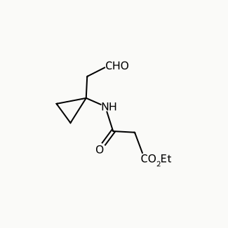 CCOC(=O)CC(=O)NC1(CC=O)CC1